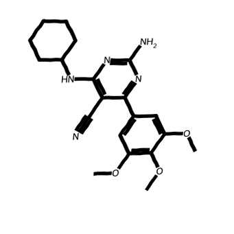 COc1cc(-c2nc(N)nc(NC3CCCCC3)c2C#N)cc(OC)c1OC